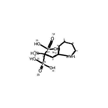 NC(CC1CCCCN1)(P(=O)(O)O)P(=O)(O)O